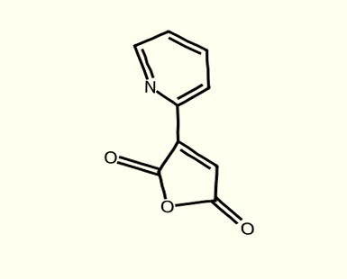 O=C1C=C(c2ccccn2)C(=O)O1